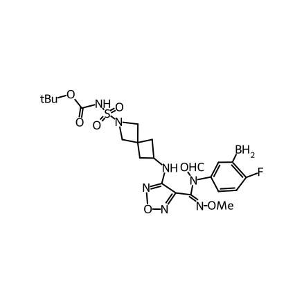 Bc1cc(N(C=O)/C(=N\OC)c2nonc2NC2CC3(C2)CN(S(=O)(=O)NC(=O)OC(C)(C)C)C3)ccc1F